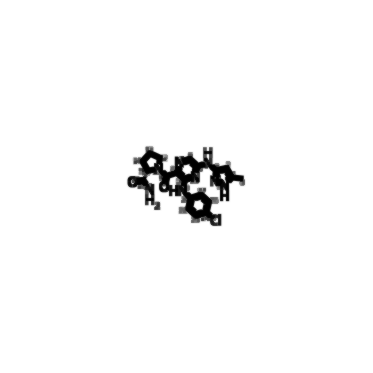 Cc1cc(Nc2cnc(C(=O)N3CCC[C@H]3C(N)=O)c(Nc3ccc(Cl)cc3)n2)n[nH]1